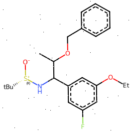 CCOc1cc(F)cc(C(N[S@@+]([O-])C(C)(C)C)C(C)OCc2ccccc2)c1